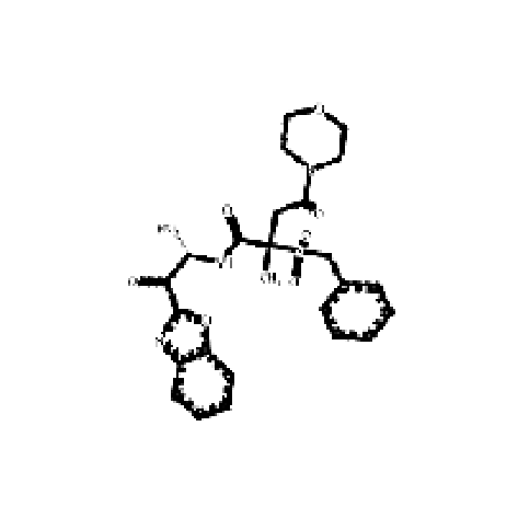 CC(C)(C)[C@H](NC(=O)C(C)(CC(=O)N1CCOCC1)S(=O)(=O)Cc1ccccc1)C(=O)c1nc2ccccc2o1